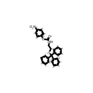 O=C(NCCSC(c1ccccc1)(c1ccccc1)c1ccccc1)Oc1ccc([N+](=O)[O-])cc1